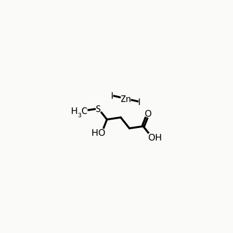 CSC(O)CCC(=O)O.[I][Zn][I]